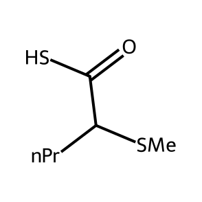 CCCC(SC)C(=O)S